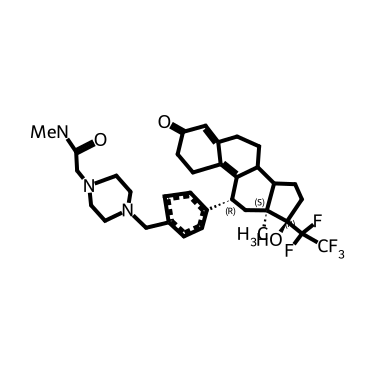 CNC(=O)CN1CCN(Cc2ccc([C@H]3C[C@@]4(C)C(CC[C@]4(O)C(F)(F)C(F)(F)F)C4CCC5=CC(=O)CCC5=C43)cc2)CC1